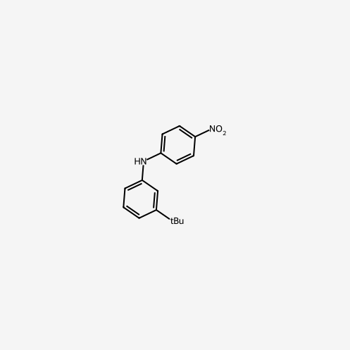 CC(C)(C)c1cccc(Nc2ccc([N+](=O)[O-])cc2)c1